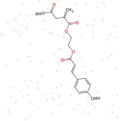 C=C(CC(=O)OC)C(=O)OCCOC(=O)/C=C/c1ccc(OC)cc1